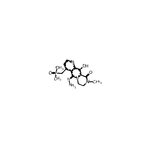 CN1CCn2c(c(O)c3nccc(CP(C)(C)=O)c3/c2=N/N)C1=O